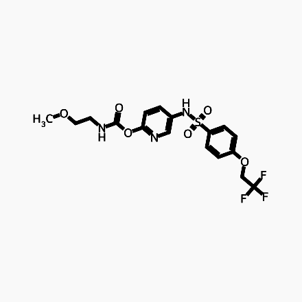 COCCNC(=O)Oc1ccc(NS(=O)(=O)c2ccc(OCC(F)(F)F)cc2)cn1